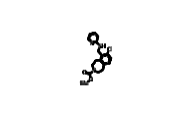 CC(C)(C)OC(=O)N1CCc2ccc(Cl)c(CNc3ccccn3)c2CC1